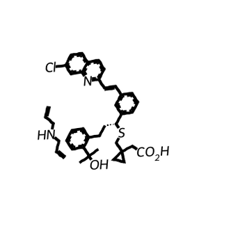 C=CCNCC=C.CC(C)(O)c1ccccc1CC[C@@H](SCC1(CC(=O)O)CC1)c1cccc(/C=C/c2ccc3ccc(Cl)cc3n2)c1